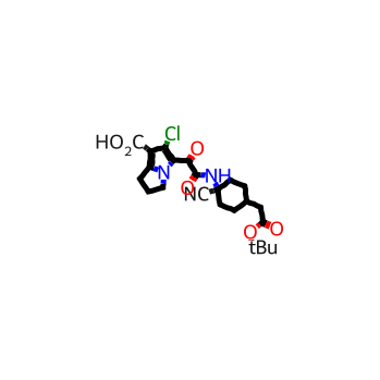 CC(C)(C)OC(=O)CC1CCC(C#N)(NC(=O)C(=O)c2c(Cl)c(C(=O)O)c3n2CCC3)CC1